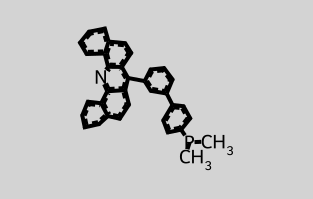 CP(C)c1ccc(-c2cccc(-c3c4ccc5ccccc5c4nc4c3ccc3ccccc34)c2)cc1